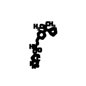 CN(C)C(c1ccccc1)C1CCC(CCNC(=O)Oc2ccc3snnc3c2)CC1